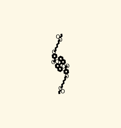 C=CC(=O)OCCCCCCOc1ccc(C(=O)Oc2ccc3ccccc3c2-c2c(OC(=O)c3ccc(OCCCCCCOC(=O)C=C)cc3)ccc3ccccc23)cc1